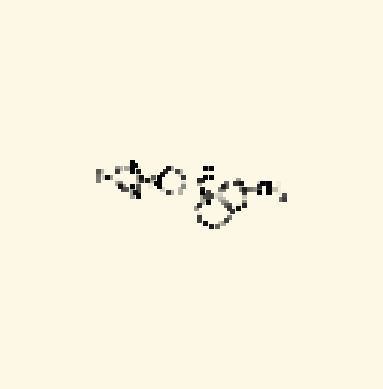 Cc1ccc2c(c1)CCCCN2C(=O)C1CCN(c2ncc(F)cn2)CC1